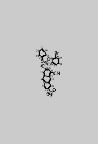 CS(=O)(=O)c1ccc2cc3cc(OP(=O)(Oc4cccc(Br)c4)Sc4ccccc4)cc(C#N)c3cc2c1